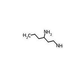 [CH2]CCC(N)CC[NH]